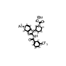 CC(=O)N1C=Cc2c(nc(NC(=O)c3cccc(C(F)(F)F)c3)n2C2CCCN(C(=O)OC(C)(C)C)C2)C1